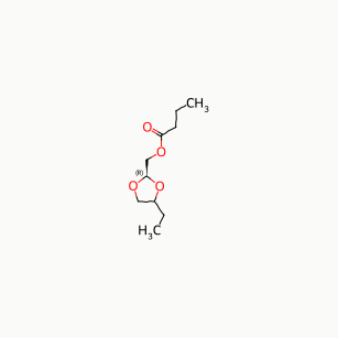 CCCC(=O)OC[C@@H]1OCC(CC)O1